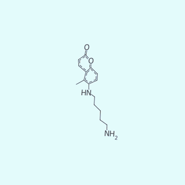 Cc1c(NCCCCCN)ccc2oc(=O)ccc12